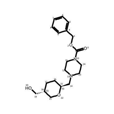 O=C(OCc1ccccc1)N1CCN(C[C@@H]2CC[C@@H](CO)CO2)CC1